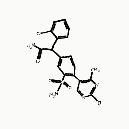 Cc1nc(Cl)ncc1-c1ccc(C(C(N)=O)c2ccccc2Cl)cc1S(N)(=O)=O